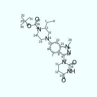 CCC1CN(c2ccc3c(N4CCC(=O)NC4=O)nn(C)c3c2)CCN1C(=O)OC(C)(C)C